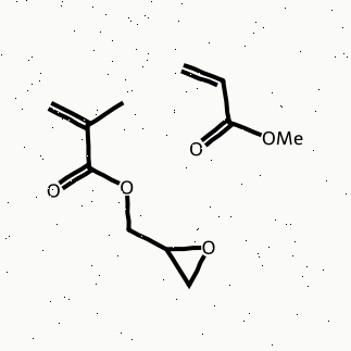 C=C(C)C(=O)OCC1CO1.C=CC(=O)OC